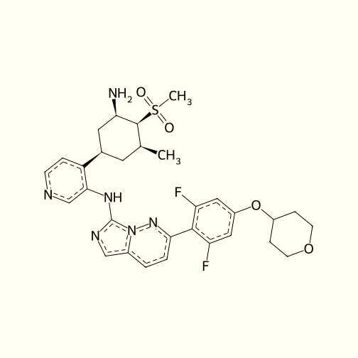 C[C@H]1C[C@@H](c2ccncc2Nc2ncc3ccc(-c4c(F)cc(OC5CCOCC5)cc4F)nn23)C[C@@H](N)[C@H]1S(C)(=O)=O